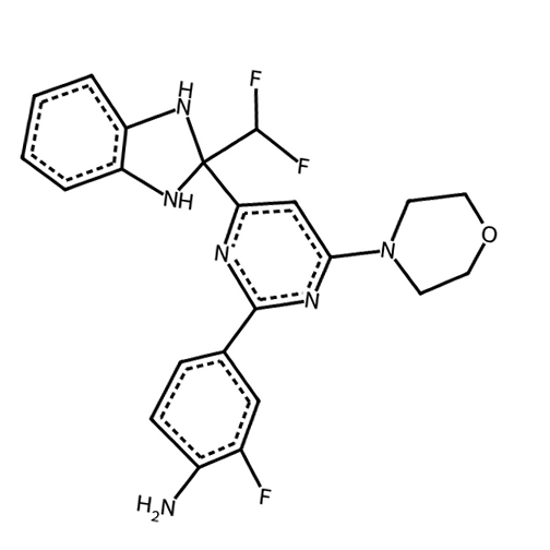 Nc1ccc(-c2nc(N3CCOCC3)cc(C3(C(F)F)Nc4ccccc4N3)n2)cc1F